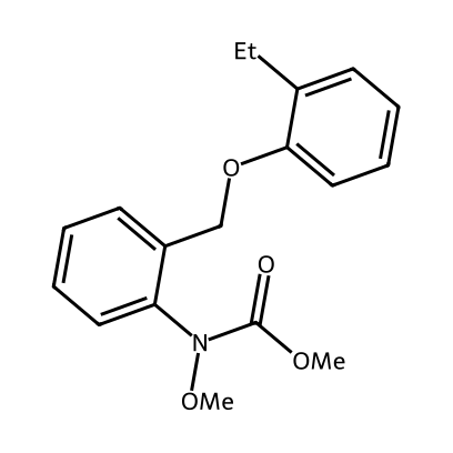 CCc1ccccc1OCc1ccccc1N(OC)C(=O)OC